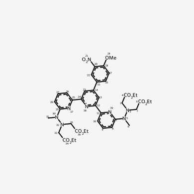 CCOC(=O)CN(CC(=O)OCC)N(C)c1cccc(-c2cc(-c3ccc(OC)c([N+](=O)[O-])c3)cc(-c3cccc(N(C)N(CC(=O)OCC)CC(=O)OCC)n3)n2)n1